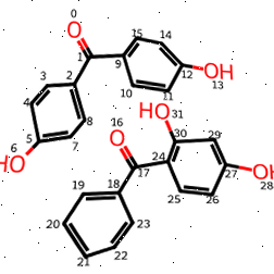 O=C(c1ccc(O)cc1)c1ccc(O)cc1.O=C(c1ccccc1)c1ccc(O)cc1O